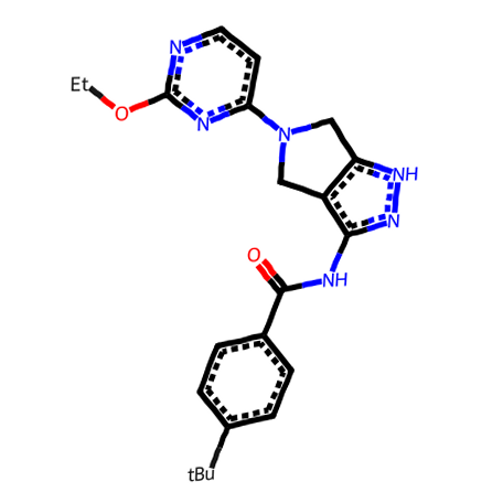 CCOc1nccc(N2Cc3[nH]nc(NC(=O)c4ccc(C(C)(C)C)cc4)c3C2)n1